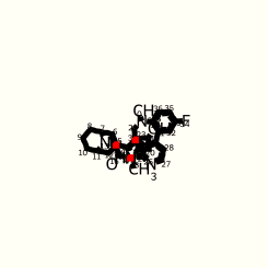 CN1Cc2c(C3=CC4CCCC(C3)N4CC(=O)N(C)C3CC(O)C3)[nH]c3nccc(c23)-c2cc(F)ccc21